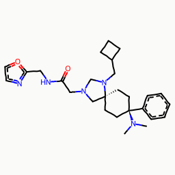 CN(C)[C@]1(c2ccccc2)CC[C@]2(CC1)CN(CC(=O)NCc1ncco1)CN2CC1CCC1